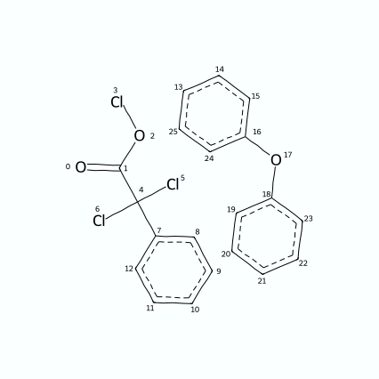 O=C(OCl)C(Cl)(Cl)c1ccccc1.c1ccc(Oc2ccccc2)cc1